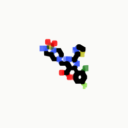 O=C(O)C1=C(CN2CCN3C(CNS3(=O)=O)C2)NC(c2nccs2)=N[C@H]1c1ccc(F)cc1Cl